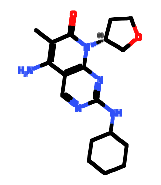 Cc1c(N)c2cnc(NC3CCCCC3)nc2n([C@@H]2CCOC2)c1=O